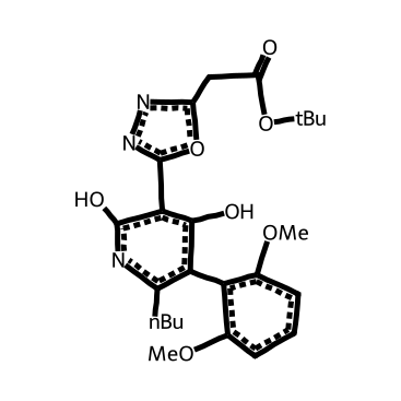 CCCCc1nc(O)c(-c2nnc(CC(=O)OC(C)(C)C)o2)c(O)c1-c1c(OC)cccc1OC